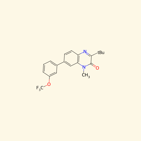 Cn1c(=O)c(C(C)(C)C)nc2ccc(-c3cccc(OC(F)(F)F)c3)cc21